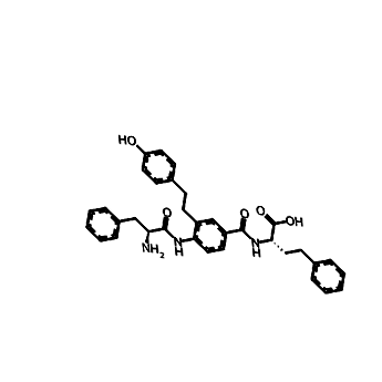 N[C@@H](Cc1ccccc1)C(=O)Nc1ccc(C(=O)N[C@@H](CCc2ccccc2)C(=O)O)cc1CCc1ccc(O)cc1